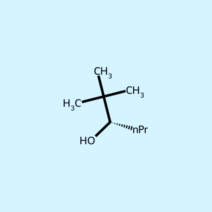 CCC[C@H](O)C(C)(C)C